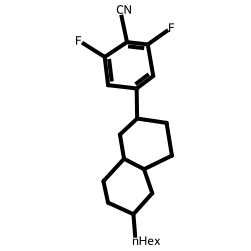 CCCCCCC1CCC2CC(c3cc(F)c(C#N)c(F)c3)CCC2C1